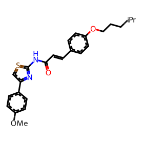 COc1ccc(-c2csc(NC(=O)/C=C/c3ccc(OCCCC(C)C)cc3)n2)cc1